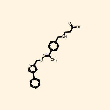 C/C(=N\OCc1cc(-c2ccccc2)cs1)c1ccc(CNCCC(=O)O)cc1